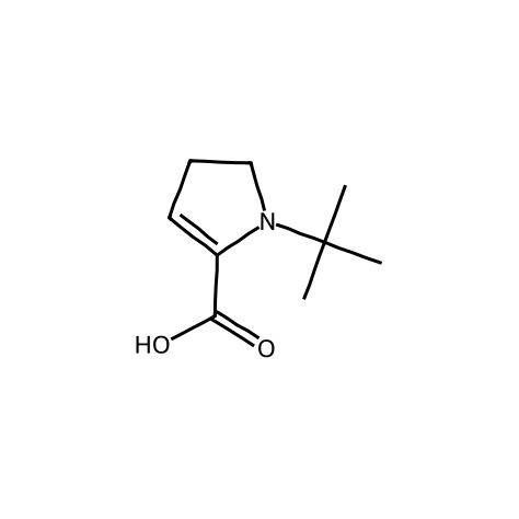 CC(C)(C)N1CCC=C1C(=O)O